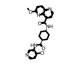 COc1ccc2nccc(C(=O)N[C@H]3CC[C@H](C(=O)Nc4cnccc4Cl)CC3)c2n1